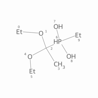 CCOC(C)(OCC)[PH](O)(O)CC